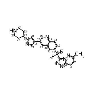 Cc1ccc2nnc(C(F)(F)c3ccc4ncc(-c5cnn(C6CCNCC6)c5)cc4c3)n2n1